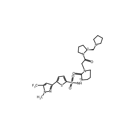 Cn1nc(-c2ccc(S(=O)(=O)N[C@H]3CCCN(CC(=O)N4CCC[C@H]4CN4CCCC4)C3=O)s2)cc1C(F)(F)F